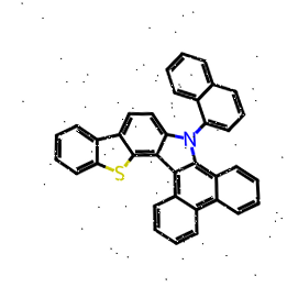 c1ccc2c(-n3c4ccc5c6ccccc6sc5c4c4c5ccccc5c5ccccc5c43)cccc2c1